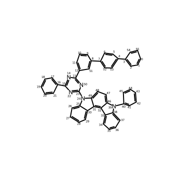 c1ccc(-c2ccc(-c3cccc(-c4nc(-c5ccccc5)nc(-n5c6ccccc6c6c7c8ccccc8n(-c8ccccc8)c7ccc65)n4)c3)cc2)cc1